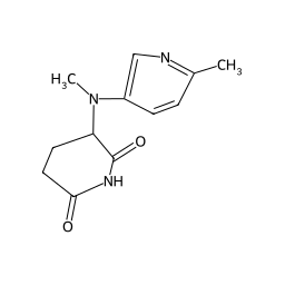 Cc1ccc(N(C)C2CCC(=O)NC2=O)cn1